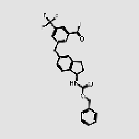 O=C(NC1CCc2cc(Cc3cc(C(=O)I)cc(C(F)(F)F)c3)ccc21)OCc1ccccc1